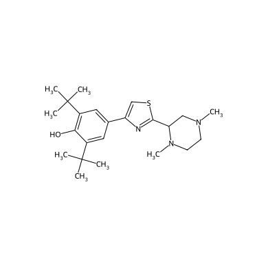 CN1CCN(C)C(c2nc(-c3cc(C(C)(C)C)c(O)c(C(C)(C)C)c3)cs2)C1